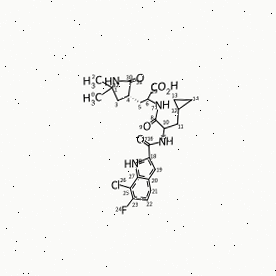 CC1(C)C[C@@H](CC(NC(=O)C(CC2CC2)NC(=O)c2cc3ccc(F)c(Cl)c3[nH]2)C(=O)O)C(=O)N1